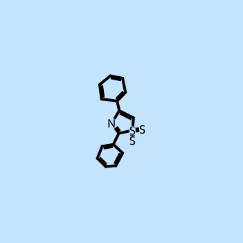 S=S1(=S)C=C(c2ccccc2)N=C1c1ccccc1